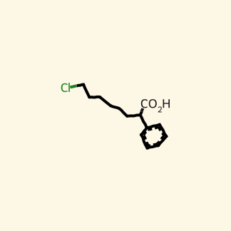 O=C(O)C(CCCCCCCl)c1ccccc1